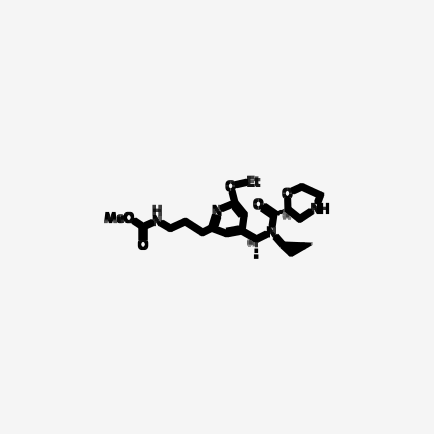 CCOc1cc([C@@H](C)N(C(=O)[C@H]2CNCCO2)C2CC2)cc(CCCNC(=O)OC)n1